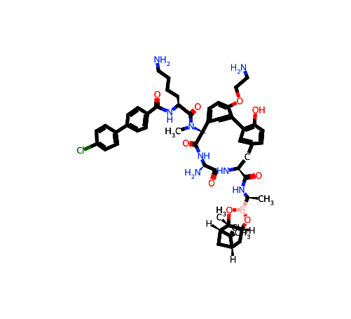 C[C@H](NC(=O)[C@@H]1Cc2ccc(O)c(c2)-c2cc(ccc2OCCN)[C@H](N(C)C(=O)[C@H](CCCCN)NC(=O)c2ccc(-c3ccc(Cl)cc3)cc2)C(=O)N[C@@H](N)C(=O)N1)B1O[C@@H]2C[C@@H]3C[C@@H](C3(C)C)[C@]2(C)O1